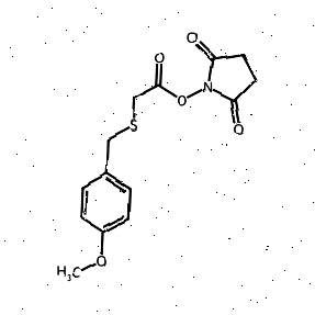 COc1ccc(CSCC(=O)ON2C(=O)CCC2=O)cc1